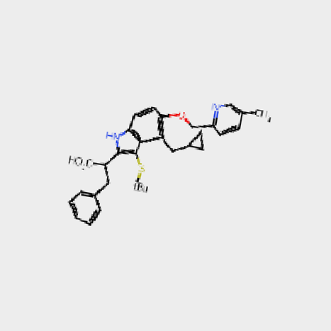 Cc1ccc(COc2ccc3[nH]c(C(Cc4ccccc4)C(=O)O)c(SC(C)(C)C)c3c2CC2CC2)nc1